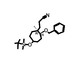 CC(C)(C)[Si](C)(C)OC1CC[C@H](OCc2ccccc2)[C@](C)(CCC#N)CC1